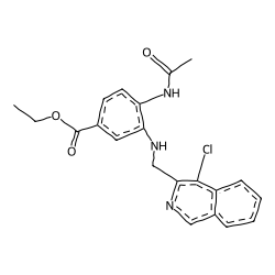 CCOC(=O)c1ccc(NC(C)=O)c(NCc2ncc3ccccc3c2Cl)c1